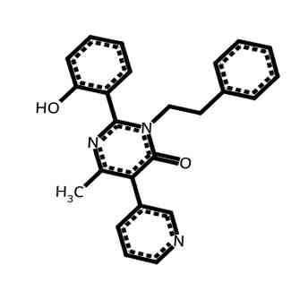 Cc1nc(-c2ccccc2O)n(CCc2ccccc2)c(=O)c1-c1cccnc1